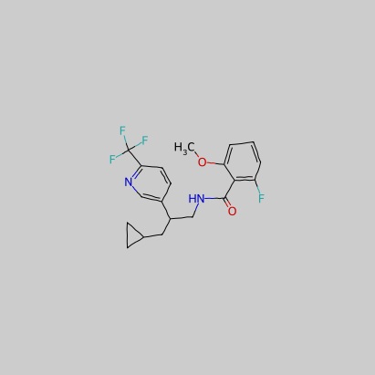 COc1cccc(F)c1C(=O)NCC(CC1CC1)c1ccc(C(F)(F)F)nc1